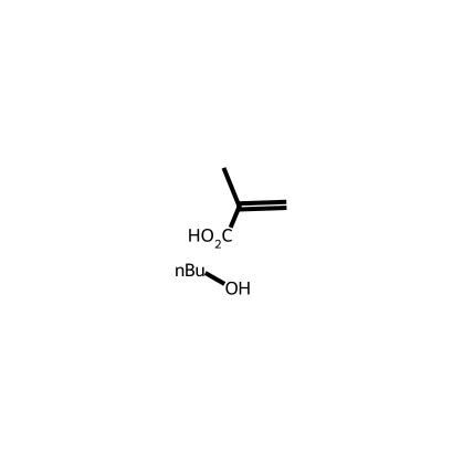 C=C(C)C(=O)O.CCCCO